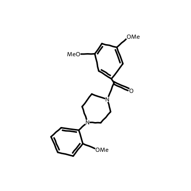 COc1cc(OC)cc(C(=O)N2CCN(c3ccccc3OC)CC2)c1